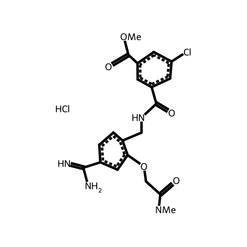 CNC(=O)COc1cc(C(=N)N)ccc1CNC(=O)c1cc(Cl)cc(C(=O)OC)c1.Cl